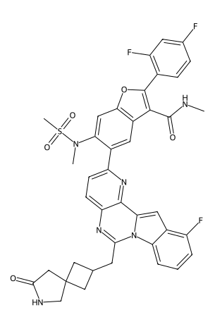 CNC(=O)c1c(-c2ccc(F)cc2F)oc2cc(N(C)S(C)(=O)=O)c(-c3ccc4nc(CC5CC6(CNC(=O)C6)C5)n5c6cccc(F)c6cc5c4n3)cc12